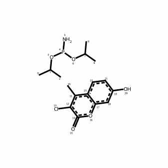 CC(C)OP(N)OC(C)C.Cc1c(Cl)c(=O)oc2cc(O)ccc12